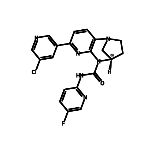 O=C(Nc1ccc(F)cn1)N1c2nc(-c3cncc(Cl)c3)ccc2N2CC[C@H]1C2